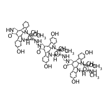 CN[C@@H]1C[C@H]2O[C@@](C)([C@@H]1OC)n1c3cc(O)ccc3c3c4c(c5c6ccc(O)cc6n2c5c31)C(=O)N(CN[C@@H]1C[C@H]2O[C@@](C)([C@@H]1OC)n1c3ccc(O)cc3c3c5c(c6c7ccc(O)cc7n2c6c31)C(=O)N(CN[C@@H]1C[C@H]2O[C@@](C)([C@@H]1OC)n1c3ccccc3c3c6c(c7c8ccc(O)cc8n2c7c31)C(=O)NC6)C5)C4